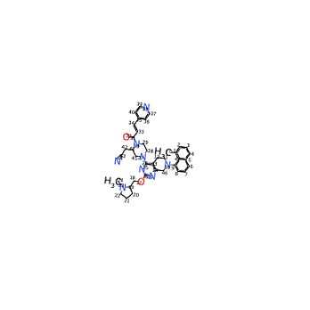 Cc1cccc2cccc(N3CCc4c(nc(OCC5CCCN5C)nc4N4CCN(C(=O)/C=C/c5ccncc5)C(CC#N)C4)C3)c12